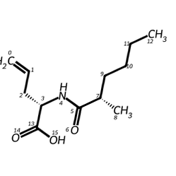 C=CC[C@H](NC(=O)[C@@H](C)CCCC)C(=O)O